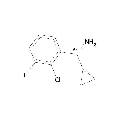 N[C@@H](c1cccc(F)c1Cl)C1CC1